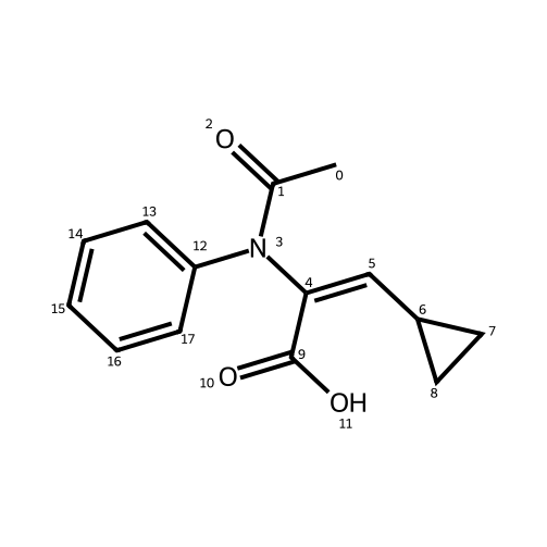 CC(=O)N(C(=CC1CC1)C(=O)O)c1ccccc1